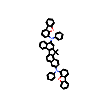 CC1(C)c2cc(N(c3ccccc3)c3cccc4c3oc3ccccc34)c3ccccc3c2-c2ccc3cc(N(c4ccccc4)c4cccc5c4oc4ccccc45)ccc3c21